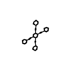 C(#Cc1cc(C#Cc2ccccc2)c(C#Cc2ccccc2)cc1C#Cc1ccccc1)c1ccccc1